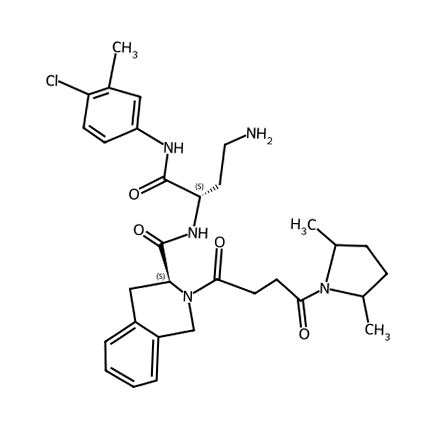 Cc1cc(NC(=O)[C@H](CCN)NC(=O)[C@@H]2Cc3ccccc3CN2C(=O)CCC(=O)N2C(C)CCC2C)ccc1Cl